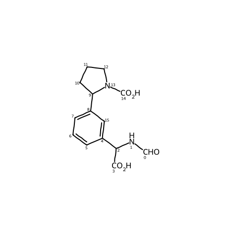 O=CNC(C(=O)O)c1cccc(C2CCCN2C(=O)O)c1